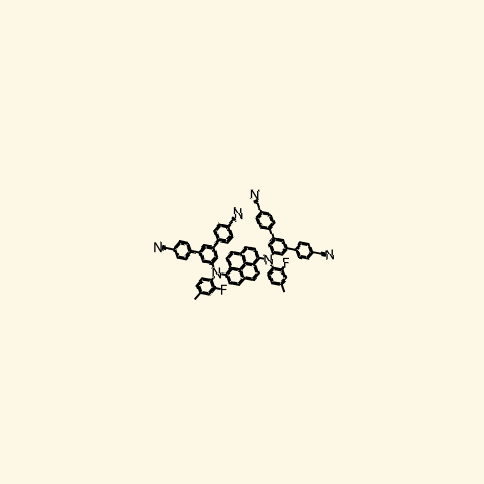 Cc1ccc(N(c2cc(-c3ccc(C#N)cc3)cc(-c3ccc(C#N)cc3)c2)c2ccc3ccc4c(N(c5cc(-c6ccc(C#N)cc6)cc(-c6ccc(C#N)cc6)c5)c5ccc(C)cc5F)ccc5ccc2c3c54)c(F)c1